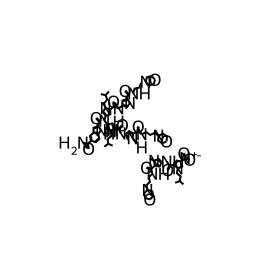 CC(C)CCn1cc(N(C(=O)c2cc3cc(C(N)=O)ccc3[nH]2)c2cc(C(=O)Nc3cc(C(=O)NCCCN4CCOCC4)n(C)c3)n(CCC(C)C)c2)cc1C(=O)Nc1cc(C(=O)NCCCN2CCOCC2)n(C)c1.CC(C)CCn1cc([N+](=O)[O-])cc1C(=O)Nc1cc(C(=O)NCCCN2CCOCC2)n(C)c1